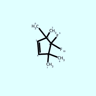 CC1(C)C=CC(C)(C)C1(F)F